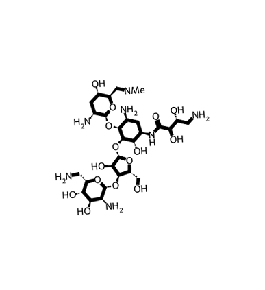 CNC[C@H]1O[C@H](O[C@H]2[C@H](O[C@@H]3O[C@H](CO)[C@@H](O[C@H]4O[C@@H](CN)[C@@H](O)[C@H](O)[C@H]4N)[C@H]3O)[C@@H](O)[C@H](NC(=O)C(O)[C@H](O)CN)C[C@@H]2N)[C@H](N)C[C@@H]1O